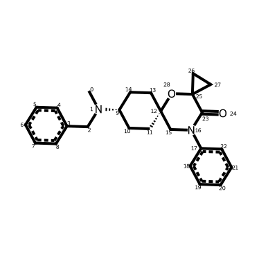 CN(Cc1ccccc1)[C@H]1CC[C@@]2(CC1)CN(c1ccccc1)C(=O)C1(CC1)O2